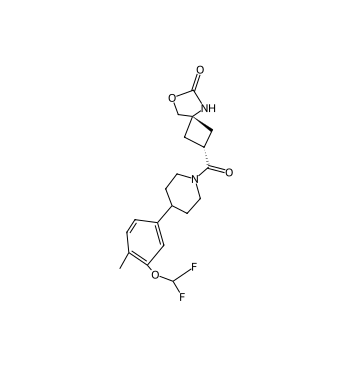 Cc1ccc(C2CCN(C(=O)[C@H]3C[C@]4(COC(=O)N4)C3)CC2)cc1OC(F)F